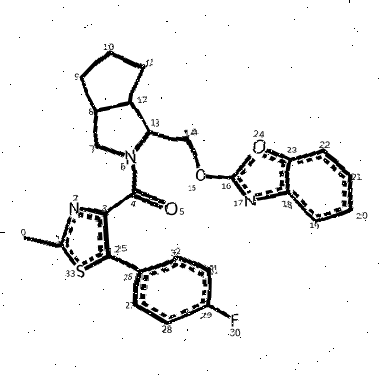 Cc1nc(C(=O)N2CC3CCCC3C2COc2nc3ccccc3o2)c(-c2ccc(F)cc2)s1